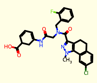 Cn1nc(C(=O)N(CC(=O)NC2=CC=CC(C(=O)O)C2)Cc2ccccc2F)c2c1-c1cc(Cl)ccc1CC2